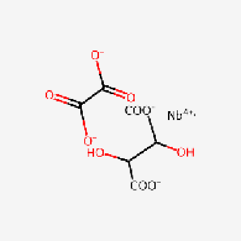 O=C([O-])C(=O)[O-].O=C([O-])C(O)C(O)C(=O)[O-].[Nb+4]